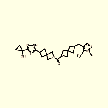 Cn1ncc(CC2CC3(C2)CN(C(=O)N2CC4(CC(c5nc(C6(O)CC6)n[nH]5)C4)C2)C3)c1C(F)(F)F